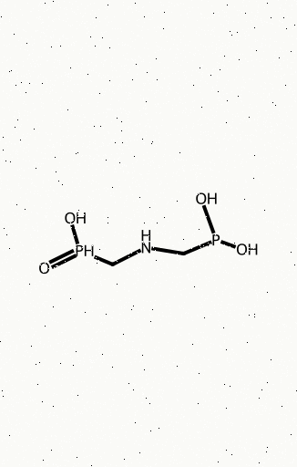 O=[PH](O)CNCP(O)O